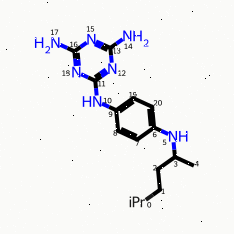 CC(C)CCC(C)Nc1ccc(Nc2nc(N)nc(N)n2)cc1